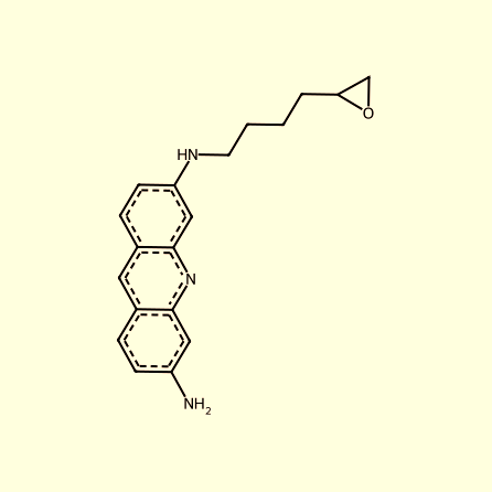 Nc1ccc2cc3ccc(NCCCCC4CO4)cc3nc2c1